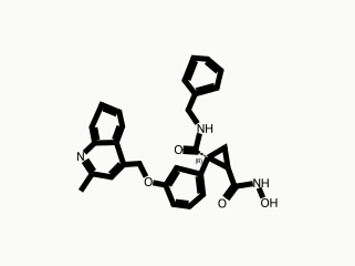 Cc1cc(COc2cccc([C@@]3(C(=O)NCc4ccccc4)CC3C(=O)NO)c2)c2ccccc2n1